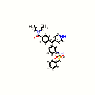 CCN(CC)C(=O)c1ccc(C(=C2CCNCC2)c2cccc(NS(=O)(=O)Cc3ccccc3)c2)cc1